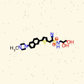 CN1CCN(c2ccc3cc(-c4ccc(/C=C(\C#N)S(=O)(=O)NCC(O)CO)s4)ccc3c2)CC1